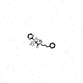 CC(C)(C(=O)NCCCc1ccccc1)S(=O)(=O)c1ncccn1